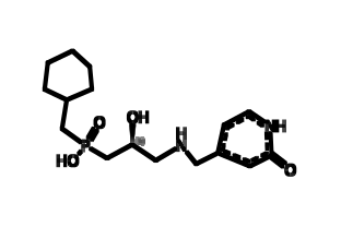 O=c1cc(CNC[C@H](O)CP(=O)(O)CC2CCCCC2)cc[nH]1